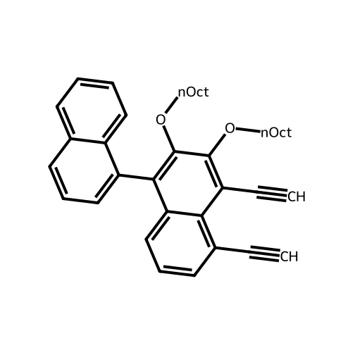 C#Cc1cccc2c(-c3cccc4ccccc34)c(OCCCCCCCC)c(OCCCCCCCC)c(C#C)c12